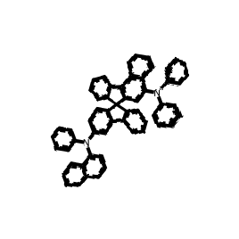 c1ccc(N(c2ccc3c(c2)-c2ccccc2C32c3ccccc3-c3c2cc(N(c2ccccc2)c2ccccc2)c2ccccc32)c2cccc3ccccc23)cc1